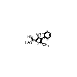 CCOC(=N)c1oc(C)c(-c2ccccc2)c1C#N